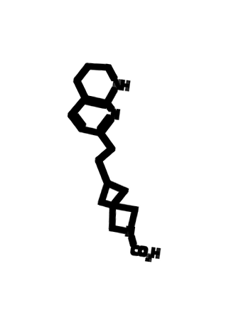 O=C(O)N1CC2(CC(CCc3ccc4c(n3)NCCC4)C2)C1